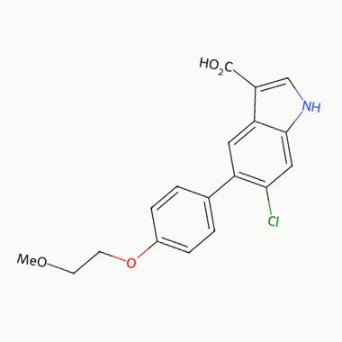 COCCOc1ccc(-c2cc3c(C(=O)O)c[nH]c3cc2Cl)cc1